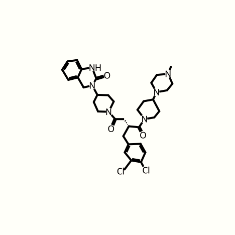 CN1CCN(C2CCN(C(=O)[C@@H](CC(=O)N3CCC(N4Cc5ccccc5NC4=O)CC3)Cc3ccc(Cl)c(Cl)c3)CC2)CC1